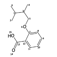 CC(C)C(C)COc1ccccc1C(=O)O